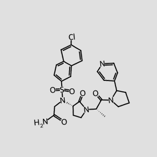 C[C@@H](C(=O)N1CCCC1c1ccncc1)N1CC[C@H](N(CC(N)=O)S(=O)(=O)c2ccc3cc(Cl)ccc3c2)C1=O